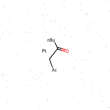 CCCCC(=O)CC(C)=O.[Pt]